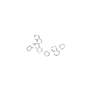 c1cc(-c2ccc3c(c2)c2ccc4cccnc4c2c2nc4ccccc4n32)cc(-c2ccc3c4c(cccc24)-c2ccccc2-3)c1